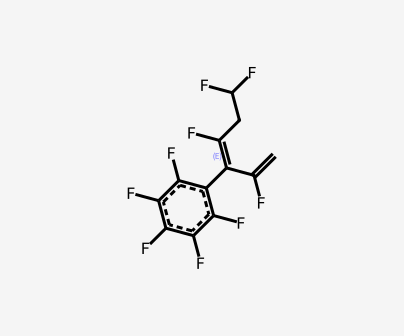 C=C(F)/C(=C(/F)CC(F)F)c1c(F)c(F)c(F)c(F)c1F